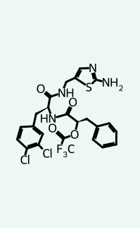 Nc1ncc(CNC(=O)[C@H](Cc2ccc(Cl)c(Cl)c2)NC(=O)[C@@H](Cc2ccccc2)OC(=O)C(F)(F)F)s1